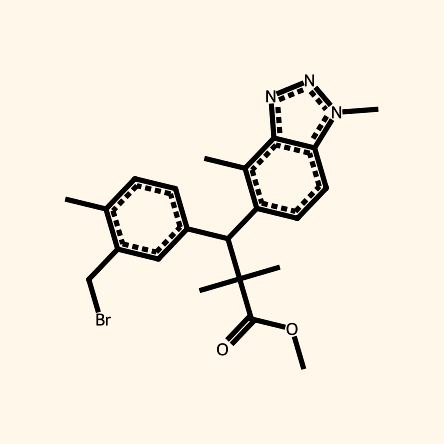 COC(=O)C(C)(C)C(c1ccc(C)c(CBr)c1)c1ccc2c(nnn2C)c1C